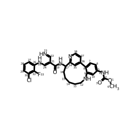 COC(=O)Nc1ccc2c(c1)NCCCCCC(NC(=O)/C(C=N)=C/Nc1cccc(Cl)c1F)c1cc-2ccn1